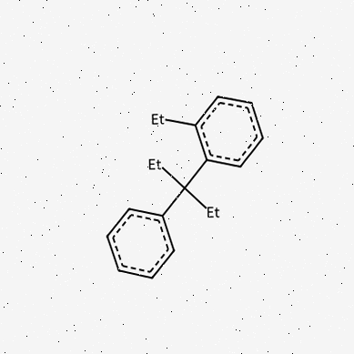 CCc1ccccc1C(CC)(CC)c1ccccc1